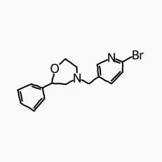 Brc1ccc(CN2CCOC(c3ccccc3)C2)cn1